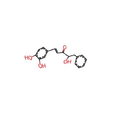 O=C(C=Cc1ccc(O)c(O)c1)C(O)Cc1ccccc1